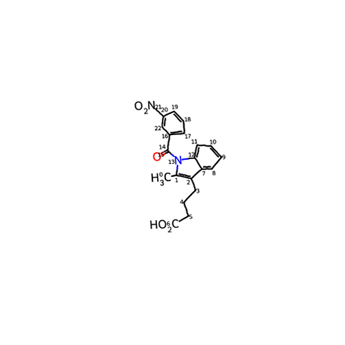 Cc1c(CCCC(=O)O)c2ccccc2n1C(=O)c1cccc([N+](=O)[O-])c1